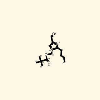 CCCCc1nc(C=O)cn1COC(=O)C(C)(C)C